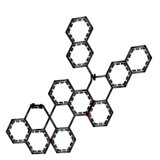 c1ccc(-c2cc3ccccc3cc2N(c2ccc3ccccc3c2)c2ccc3c4c(cccc24)C2(c4ccccc4-c4cccc5cccc2c45)c2ccccc2-3)cc1